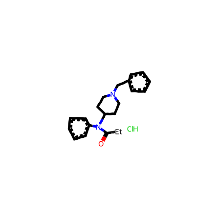 CCC(=O)N(c1ccccc1)C1CCN(Cc2ccccc2)CC1.Cl